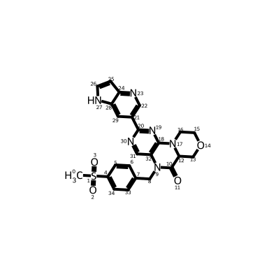 CS(=O)(=O)c1ccc(CN2C(=O)C3COCCN3c3nc(-c4cnc5cc[nH]c5c4)ncc32)cc1